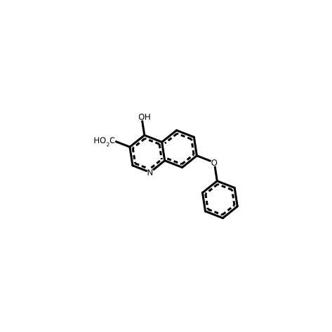 O=C(O)c1cnc2cc(Oc3ccccc3)ccc2c1O